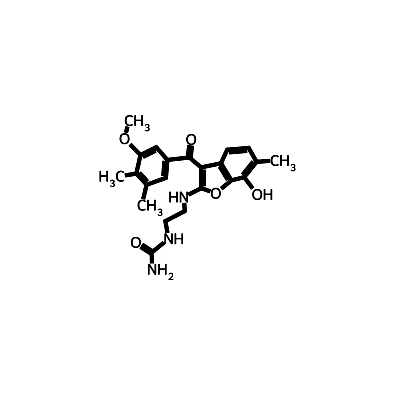 COc1cc(C(=O)c2c(NCCNC(N)=O)oc3c(O)c(C)ccc23)cc(C)c1C